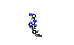 C/N=C(/CNCC1(F)CCCNC1)c1nccnc1/C=C/c1ccc(OC)c(F)c1